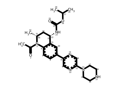 CC(=O)N1c2ccc(-c3cnc(N4CCNCC4)cn3)cc2[C@@H](NC(=O)OC(C)C)C[C@H]1C